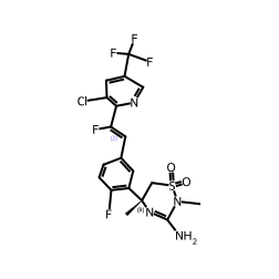 CN1C(N)=N[C@](C)(c2cc(/C=C(\F)c3ncc(C(F)(F)F)cc3Cl)ccc2F)CS1(=O)=O